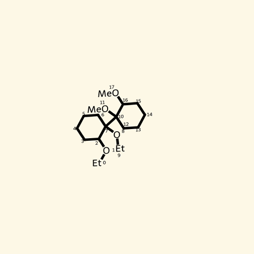 CCO[C]1CCCCC1(OCC)C1(OC)CCCCC1OC